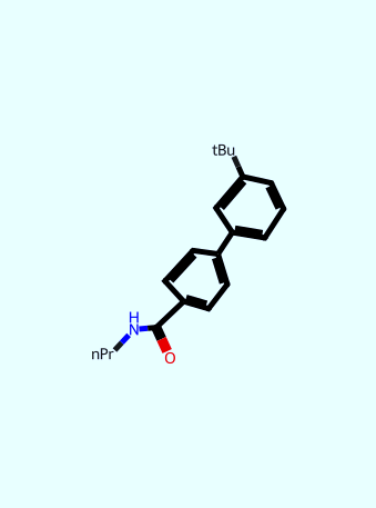 CCCNC(=O)c1ccc(-c2cccc(C(C)(C)C)c2)cc1